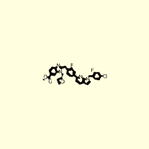 COC(=O)c1ccc2nc(Cc3ccc(-c4ccc5ccn(Cc6ccc(Cl)cc6F)c5n4)cc3F)n(C[C@@H]3CCO3)c2c1